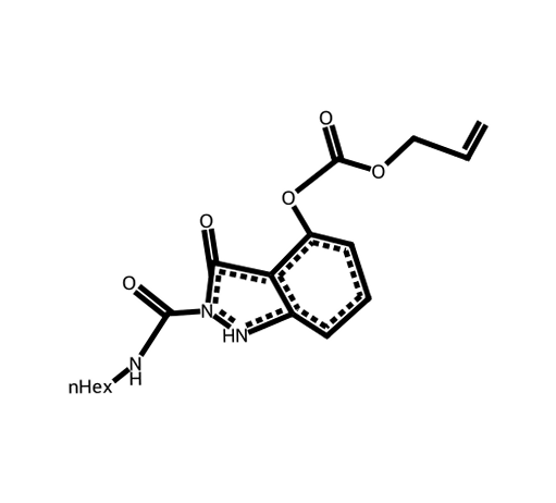 C=CCOC(=O)Oc1cccc2[nH]n(C(=O)NCCCCCC)c(=O)c12